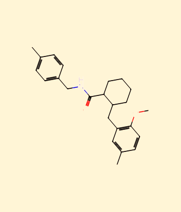 COc1ccc(C)cc1CC1CCCCC1C(=O)NCc1ccc(C)cc1